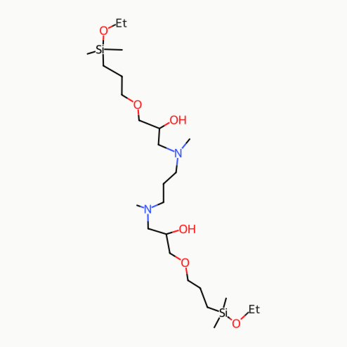 CCO[Si](C)(C)CCCOCC(O)CN(C)CCCN(C)CC(O)COCCC[Si](C)(C)OCC